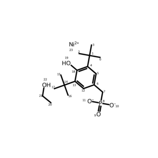 CC(C)(C)c1cc(CP(=O)([O-])[O-])cc(C(C)(C)C)c1O.CCO.[Ni+2]